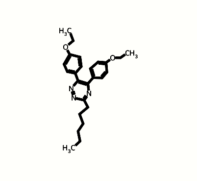 CCCCCCc1nnc(-c2ccc(OCC)cc2)c(-c2ccc(OCC)cc2)n1